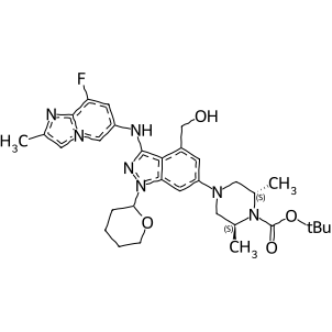 Cc1cn2cc(Nc3nn(C4CCCCO4)c4cc(N5C[C@H](C)N(C(=O)OC(C)(C)C)[C@@H](C)C5)cc(CO)c34)cc(F)c2n1